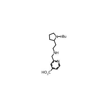 CCCCN1CCCC1CCNCc1cc(C(=O)O)ccn1